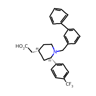 O=C(O)C[C@@H]1CCN(Cc2cccc(-c3ccccc3)c2)[C@H](c2ccc(C(F)(F)F)cc2)C1